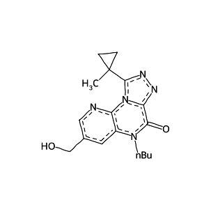 CCCCn1c(=O)c2nnc(C3(C)CC3)n2c2ncc(CO)cc21